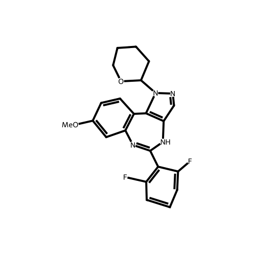 COc1ccc2c(c1)N=C(c1c(F)cccc1F)Nc1cnn(C3CCCCO3)c1-2